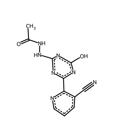 CC(=O)NNc1nc(O)nc(-c2ncccc2C#N)n1